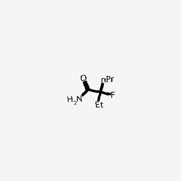 CCCC(F)(CC)C(N)=O